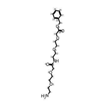 NCCOCCOCC(=O)NCCOCCOCC(=O)OCc1ccccc1